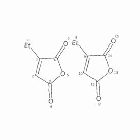 CCC1=CC(=O)OC1=O.CCC1=CC(=O)OC1=O